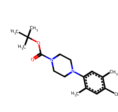 Cc1cc(C)c(N2CCN(C(=O)OC(C)(C)C)CC2)cc1C